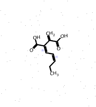 C=C(C(=O)O)/C(=C\C=C/CC)C(=O)O